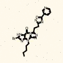 CCCCCn1c2nc(Br)[nH]c2c(=O)n2c(CCc3noc(-c4cccnc4)n3)nnc12